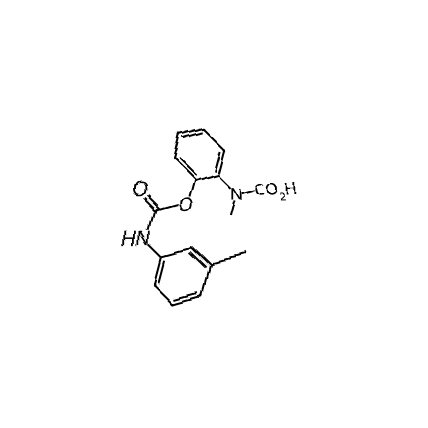 Cc1cccc(NC(=O)Oc2ccccc2N(C)C(=O)O)c1